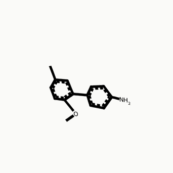 COc1ccc(C)cc1-c1ccc(N)cc1